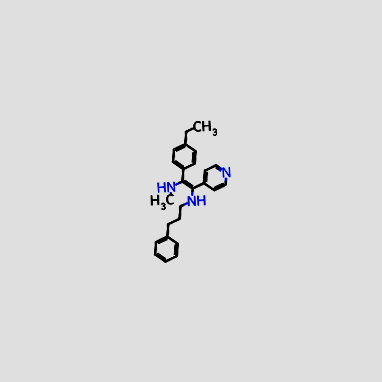 CCc1ccc(/C(NC)=C(/NCCCc2ccccc2)c2ccncc2)cc1